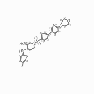 Cc1ccc(N[C@@H]2CCN(S(=O)(=O)c3ccc(-c4ccc(N5CCOCC5)nc4)cc3)C[C@@H]2O)nc1